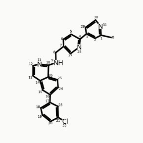 Cc1cc(-c2ccc(CNc3nccc4cc(-c5cccc(Cl)c5)ccc34)cn2)ccn1